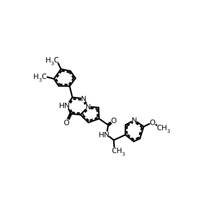 COc1ccc(C(C)NC(=O)c2cc3c(=O)[nH]c(-c4ccc(C)c(C)c4)nn3c2)cn1